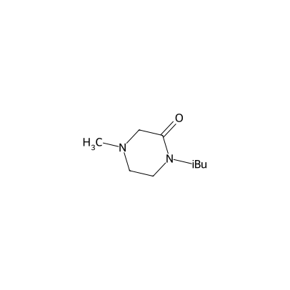 CCC(C)N1CCN(C)CC1=O